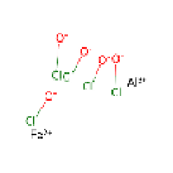 [Al+3].[Fe+2].[O-]Cl.[O-]Cl.[O-]Cl.[O-]Cl.[O-]Cl